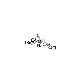 CC(C)(C)OC(=O)ON1CC=C(Cl)C=c2[nH]c3c(c21)CN=NC=3[C@H]1CC[C@H](Oc2cccc(Cl)c2)CC1